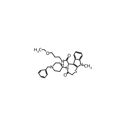 CCOCCCNC(=O)C1c2c(n(C)c3ccccc23)SCC(=O)N1C1CCN(Cc2ccccc2)CC1